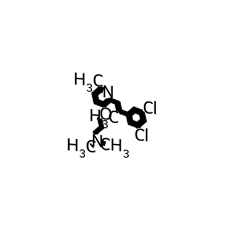 CC(=Cc1nc(C)ccc1OCCCN(C)C)c1cc(Cl)cc(Cl)c1